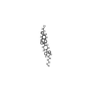 CCCCCC1COC(C2CCC(C(=O)Oc3ccc(OCCC)cc3C)CC2)OC1